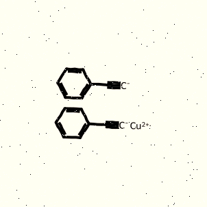 [C-]#Cc1ccccc1.[C-]#Cc1ccccc1.[Cu+2]